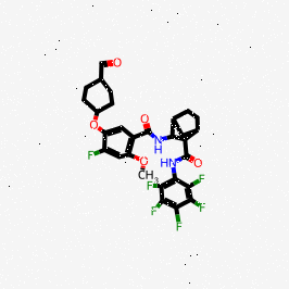 COc1cc(F)c(OC2CCC(C=O)CC2)cc1C(=O)NC1C2CCC(C2)C1C(=O)Nc1c(F)c(F)c(F)c(F)c1F